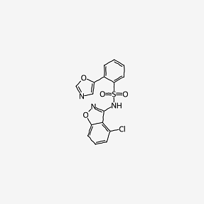 O=S(=O)(Nc1noc2cccc(Cl)c12)c1ccccc1-c1cnco1